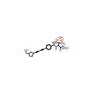 CC(C)([C@H](NC(O)c1ccc(C#CC#CC2CCC(CO)C2)cc1)C(=O)NO)S(C)(=O)=O